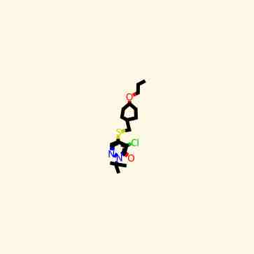 CCCOC1CCC(CSc2cnn(C(C)(C)C)c(=O)c2Cl)CC1